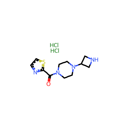 Cl.Cl.O=C(c1nccs1)N1CCN(C2CNC2)CC1